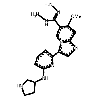 COc1cc2ncc(-c3cccc(NC4CCNC4)n3)n2cc1/C(=N/N)NN